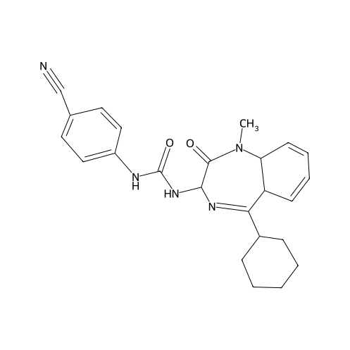 CN1C(=O)C(NC(=O)Nc2ccc(C#N)cc2)N=C(C2CCCCC2)C2C=CC=CC21